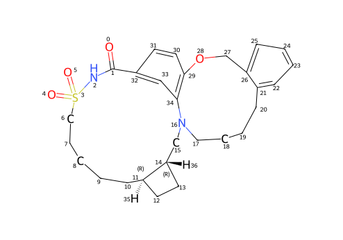 O=C1NS(=O)(=O)CCCCC[C@@H]2CC[C@H]2CN2CCCCc3ccccc3COc3ccc1cc32